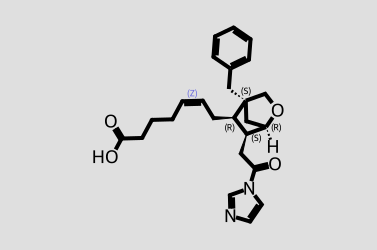 O=C(O)CCC/C=C\C[C@@H]1[C@H](CC(=O)n2ccnc2)[C@H]2C[C@]1(Cc1ccccc1)CO2